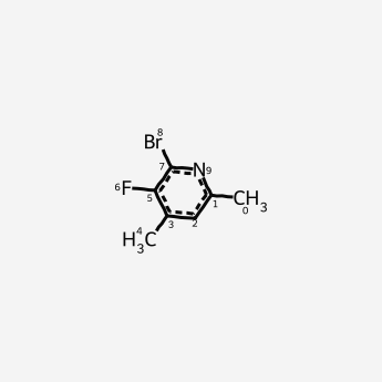 Cc1cc(C)c(F)c(Br)n1